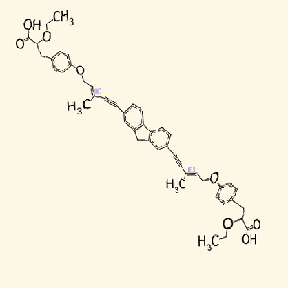 CCOC(Cc1ccc(OC/C=C(\C)C#Cc2ccc3c(c2)Cc2cc(C#C/C(C)=C/COc4ccc(CC(OCC)C(=O)O)cc4)ccc2-3)cc1)C(=O)O